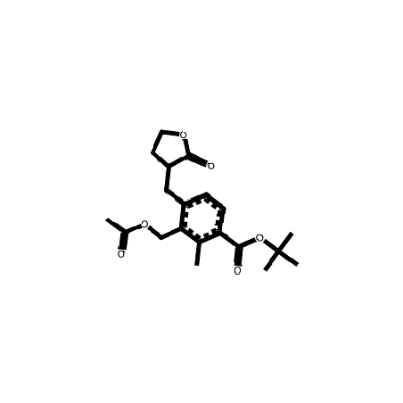 CC(=O)OCc1c(CC2CCOC2=O)ccc(C(=O)OC(C)(C)C)c1C